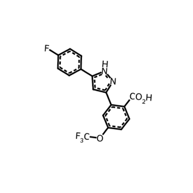 O=C(O)c1ccc(OC(F)(F)F)cc1-c1cc(-c2ccc(F)cc2)[nH]n1